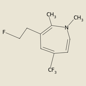 CC1=C(CCF)C=C(C(F)(F)F)C=CN1C